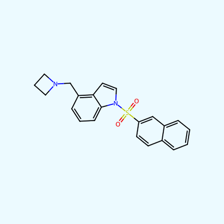 O=S(=O)(c1ccc2ccccc2c1)n1ccc2c(CN3CCC3)cccc21